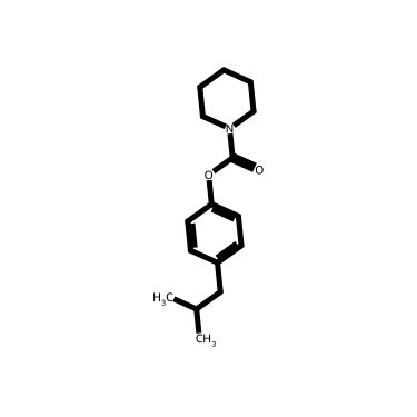 CC(C)Cc1ccc(OC(=O)N2CCCCC2)cc1